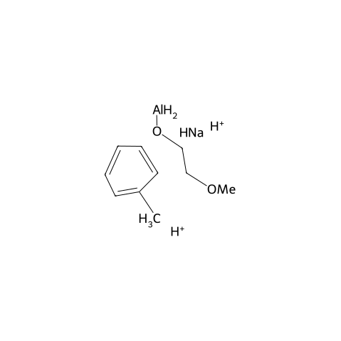 COCC[O][AlH2].Cc1ccccc1.[H+].[H+].[NaH]